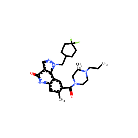 Cc1cc2[nH]c(=O)c3cnn(CC4CCC(F)(F)CC4)c3c2cc1C(=O)N1CCN(CCC(F)(F)F)[C@@H](C)C1